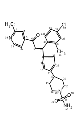 Cc1cc(C(=O)CC(c2ccc(C3CCN(S(N)(=O)=O)CC3)cc2)c2ccc(Cl)cc2C)ccn1